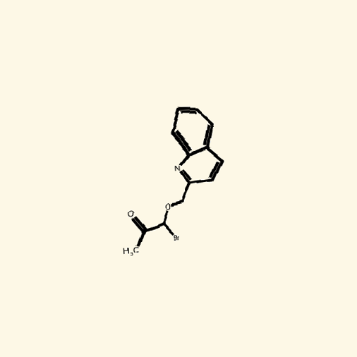 CC(=O)C(Br)OCc1ccc2ccccc2n1